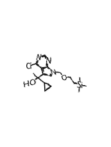 CC(O)(c1cn(COCC[Si](C)(C)C)c2ncnc(Cl)c12)C1CC1